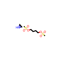 C1CN1.CS(=O)(=O)OCCCCOS(C)(=O)=O